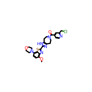 COc1ccc(N2CCOCC2)c2sc(-c3nc4c([nH]3)CCN(C(=O)c3ccnc(CCl)c3)CC4)nc12